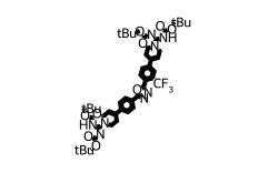 CC(C)(C)OC(=O)/N=C(/NC(=O)OC(C)(C)C)N1CC=C(c2ccc(-c3nnc(-c4ccc(C5=CCN(/C(=N/C(=O)OC(C)(C)C)NC(=O)OC(C)(C)C)CC5)cc4)o3)c(C(F)(F)F)c2)CC1